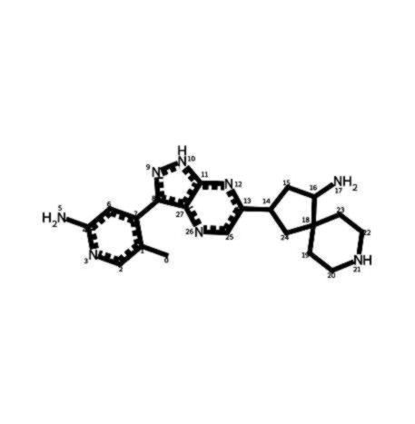 Cc1cnc(N)cc1-c1n[nH]c2nc(C3CC(N)C4(CCNCC4)C3)cnc12